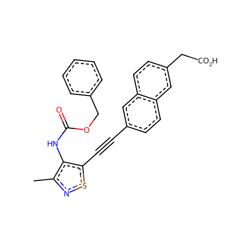 Cc1nsc(C#Cc2ccc3cc(CC(=O)O)ccc3c2)c1NC(=O)OCc1ccccc1